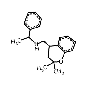 CC(NC[C@@H]1CC(C)(C)Oc2ccccc21)c1ccccc1